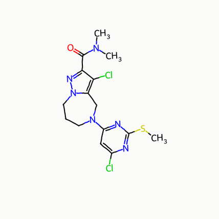 CSc1nc(Cl)cc(N2CCCn3nc(C(=O)N(C)C)c(Cl)c3C2)n1